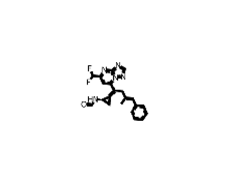 C/C(=C\c1ccccc1)C/C(=C1\C[C@H]1NC=O)c1cc(C(F)F)nc2ncnn12